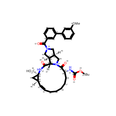 COc1cccc(-c2cccc(C(=O)N3C[C@H]4CN5C(=O)[C@H](NC(=O)OC(C)(C)C)CCCCC/C=C\[C@H]6C[C@@]6(C(=O)O)NC(=O)[C@@H]5[C@H]4C3)c2)c1